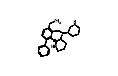 CC(C)(C)c1c(-c2ccccc2)ccc(CP)c1CP(C1CCCNC1)C1CCCNC1